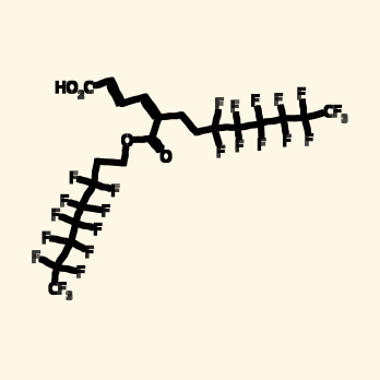 O=C(O)C=CC=C(CCC(F)(F)C(F)(F)C(F)(F)C(F)(F)C(F)(F)C(F)(F)F)C(=O)OCCC(F)(F)C(F)(F)C(F)(F)C(F)(F)C(F)(F)C(F)(F)F